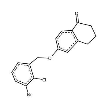 O=C1CCCc2cc(OCc3cccc(Br)c3Cl)ccc21